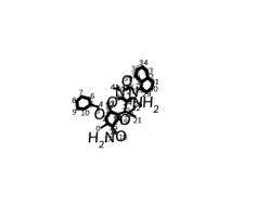 Cc1c(OCc2ccccc2)c(C)c2c(c1C(N)=O)OC(C)(C)C2c1c(N)n(-c2cccc3ccccc23)c(=O)n(C)c1=O